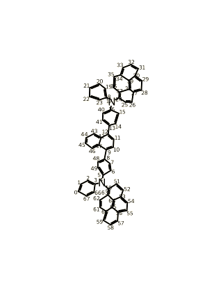 c1ccc(N(c2ccc(-c3ccc(-c4ccc(N(c5ccccc5)c5ccc6ccc7cccc8ccc5c6c78)cc4)c4ccccc34)cc2)c2ccc3ccc4cccc5ccc2c3c45)cc1